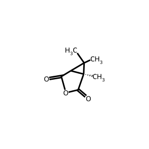 CC1(C)C2C(=O)OC(=O)[C@@]21C